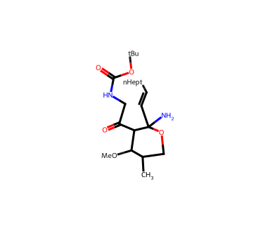 CCCCCCCC=CC1(N)OCC(C)C(OC)C1C(=O)CNC(=O)OC(C)(C)C